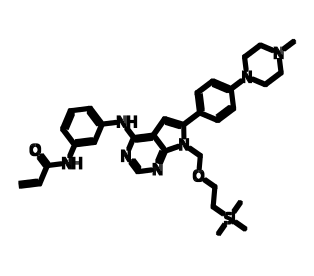 C=CC(=O)Nc1cccc(Nc2ncnc3c2cc(-c2ccc(N4CCN(C)CC4)cc2)n3COCC[Si](C)(C)C)c1